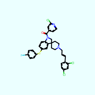 O=C(c1ccnc(Cl)c1)N1CC2(CCN(CC=Cc3ccc(Cl)cc3Cl)CC2)c2cc(Sc3ccc(F)cc3)ccc21